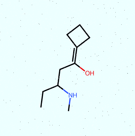 CCC(CC(O)=C1CCC1)NC